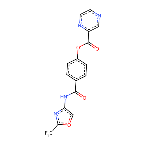 O=C(Nc1coc(C(F)(F)F)n1)c1ccc(OC(=O)c2cnccn2)cc1